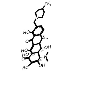 CC(=O)C1=C(O)[C@@H](N(C)C)C2[C@@H](O)C3C(=C(O)[C@]2(O)C1=O)C(=O)c1c(ccc(CN2CCC(C(F)(F)F)CC2)c1O)[C@@H]3C